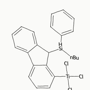 CCCC[SiH](c1ccccc1)C1c2ccccc2-c2ccc[c]([Ti]([Cl])([Cl])[Cl])c21